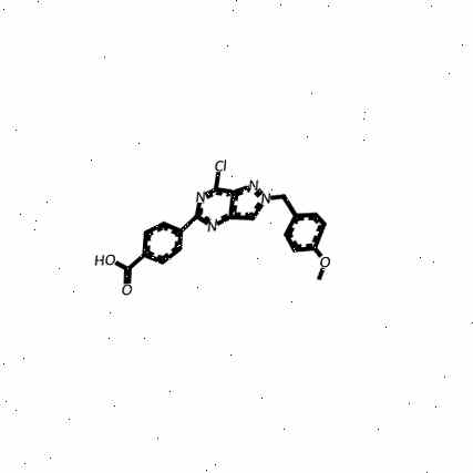 COc1ccc(Cn2cc3nc(-c4ccc(C(=O)O)cc4)nc(Cl)c3n2)cc1